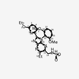 CCOc1cccc(-c2nc3nc(CC)c(CN[SH](=O)=O)nc3n2-c2c(OC)cccc2OC)n1